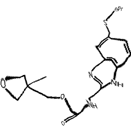 CCCSc1ccc2[nH]c(NC(=O)OCC3(C)COC3)nc2c1